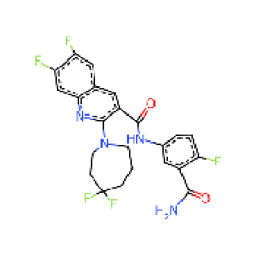 NC(=O)c1cc(NC(=O)c2cc3cc(F)c(F)cc3nc2N2CCCC(F)(F)CC2)ccc1F